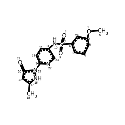 COc1cccc(S(=O)(=O)Nc2ccc(-n3[nH]c(C)cc3=O)nc2)c1